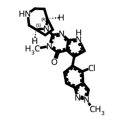 Cn1cc2c(Cl)c(-c3c[nH]c4nc(N5[C@H]6CCNC[C@@H]5CC6)n(C)c(=O)c34)ccc2n1